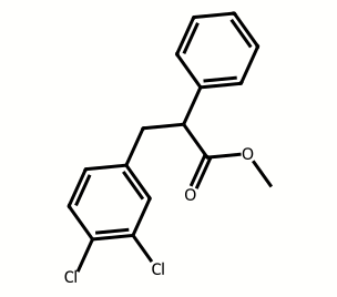 COC(=O)C(Cc1ccc(Cl)c(Cl)c1)c1ccccc1